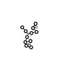 c1ccc(-c2ccc(N(c3ccc(-c4ccccc4-c4ccccc4-n4c5ccccc5c5ccccc54)cc3)c3ccc(-c4ccccc4-c4cccc5c4oc4ccccc45)cc3)cc2)cc1